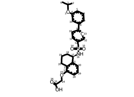 CC(C)Oc1cccc(-c2ccc(S(=O)(=O)N[C@@H]3CCCc4c(OCC(=O)O)cccc43)cc2)c1